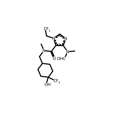 CN(CC1CCC(O)(C(F)(F)F)CC1)C(=O)c1c(N(C)C=O)ncn1CC(F)(F)F